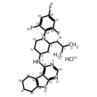 CC(C)CC1CC(Nc2ncnc3sc4c(c23)CCCC4)CCN1c1c(F)cc(F)cc1F.Cl